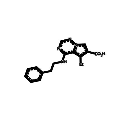 CCc1c(C(=O)O)cn2ncnc(NCCc3ccccc3)c12